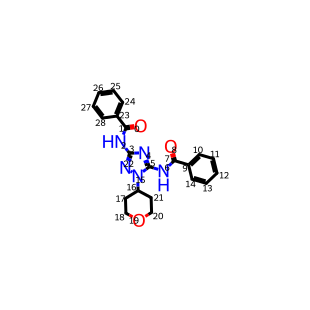 O=C(Nc1nc(NC(=O)c2ccccc2)n(C2CCOCC2)n1)c1ccccc1